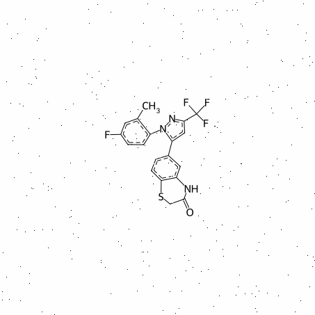 Cc1cc(F)ccc1-n1nc(C(F)(F)F)cc1-c1ccc2c(c1)NC(=O)CS2